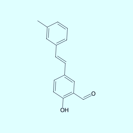 Cc1cccc(/C=C/c2ccc(O)c(C=O)c2)c1